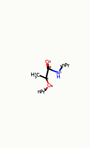 CCCNC(=O)C(C)OCCC